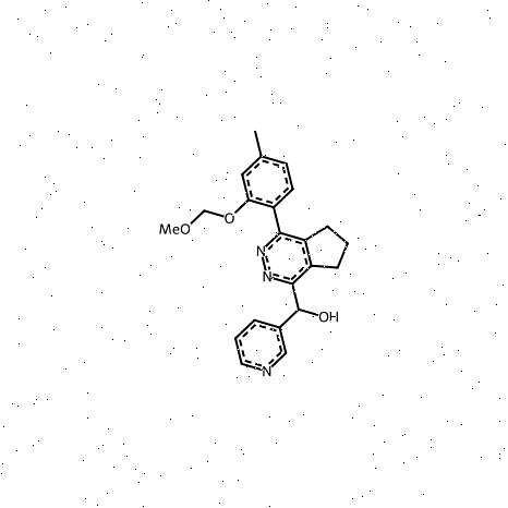 COCOc1cc(C)ccc1-c1nnc(C(O)c2cccnc2)c2c1CCC2